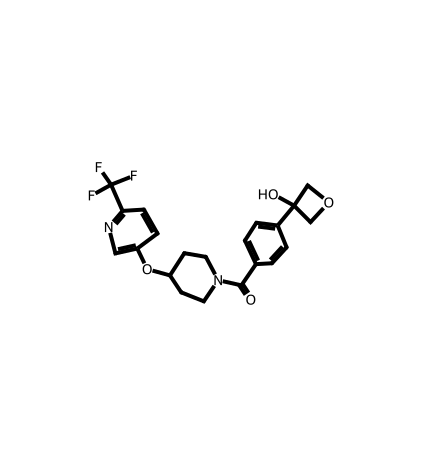 O=C(c1ccc(C2(O)COC2)cc1)N1CCC(Oc2ccc(C(F)(F)F)nc2)CC1